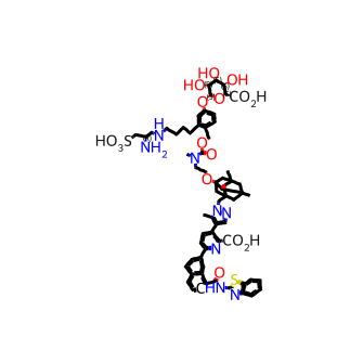 Cc1c(-c2ccc(-c3ccc4cccc(C(=O)Nc5nc6ccccc6s5)c4c3)nc2C(=O)O)cnn1CC12CC3(C)CC(C)(C1)CC(OCCN(C)C(=O)OCc1ccc(O[C@@H]4O[C@H](C(=O)O)[C@@H](O)[C@H](O)[C@H]4O)cc1CCCCNC[C@@H](N)CS(=O)(=O)O)(C3)C2